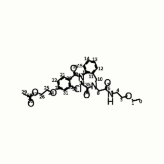 CCOCCNC(=O)CN1Cc2ccccc2N(C(=O)c2ccc(OCCOC(C)=O)cc2Cl)CC1=O